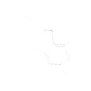 C[C](C)OOC(=O)c1c(C)cc(C)cc1C